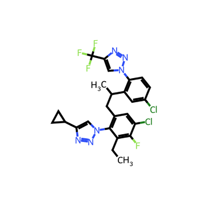 CCc1c(F)c(Cl)cc(CC(C)c2cc(Cl)ccc2-n2cc(C(F)(F)F)nn2)c1-n1cc(C2CC2)nn1